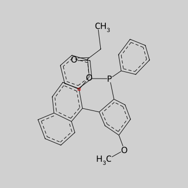 CCC(=O)Oc1ccc2ccccc2c1-c1cc(OC)ccc1P(c1ccccc1)c1ccccc1